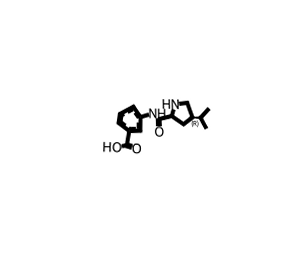 CC(C)[C@@H]1CNC(C(=O)Nc2cccc(C(=O)O)c2)C1